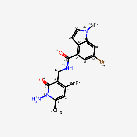 CCCc1cc(C)n(N)c(=O)c1CNC(=O)c1cc(Br)cc2c1ccn2C(C)C